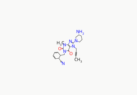 CC#CCn1c(N2CCC[C@@H](N)C2)nc2c1c(=O)n(CC1C=CC=CC1C#N)c(=O)n2C